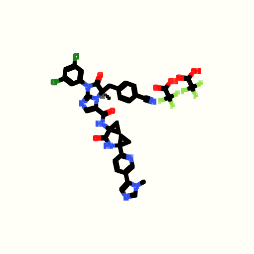 Cn1cncc1-c1ccc(C2(NC(=O)C3(NC(=O)c4cnc5n4[C@](C)(Cc4ccc(C#N)cc4)C(=O)N5c4cc(Cl)cc(Cl)c4)CC3)CC2)nc1.O=C(O)C(F)(F)F.O=C(O)C(F)(F)F